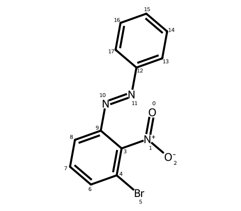 O=[N+]([O-])c1c(Br)cccc1N=Nc1ccccc1